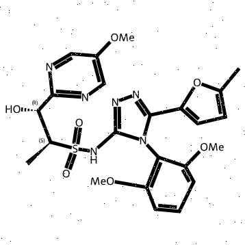 COc1cnc([C@@H](O)[C@H](C)S(=O)(=O)Nc2nnc(-c3ccc(C)o3)n2-c2c(OC)cccc2OC)nc1